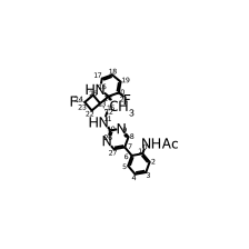 CC(=O)Nc1ccccc1-c1cnc(NC[C@]2(C3(C)NC=CC=C3F)C[C@H](F)C2)nc1